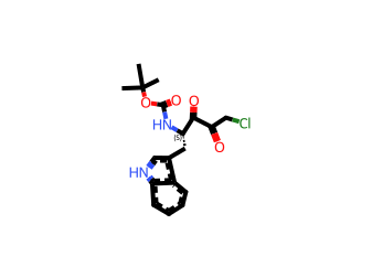 CC(C)(C)OC(=O)N[C@@H](Cc1c[nH]c2ccccc12)C(=O)C(=O)CCl